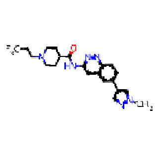 Cn1cc(-c2ccc3nnc(NC(=O)C4CCN(CCC(F)(F)F)CC4)cc3c2)cn1